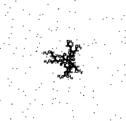 CCCCC(CC)COP(=O)(OCC(CC)CCCC)C(C(=O)O)C(C)(CC(=O)O)P(=O)(OCC(CC)CCCC)OCC(CC)CCCC